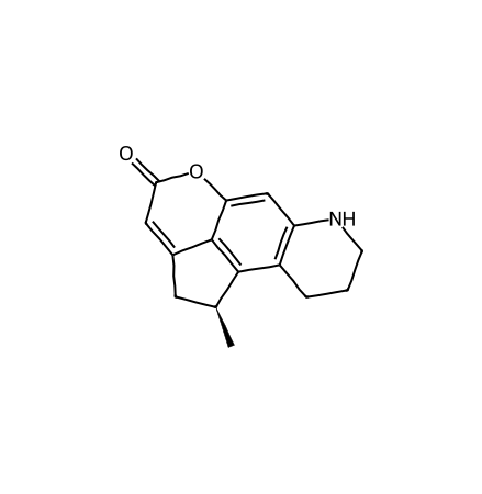 C[C@H]1Cc2cc(=O)oc3cc4c(c1c23)CCCN4